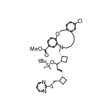 COC(=O)c1ccc2c(c1)N(C[C@@H]1CC[C@H]1C(/C=C/[C@@H]1CC[C@H]1CSc1ncccn1)O[Si](C)(C)C(C)(C)C)CCCCc1cc(Cl)ccc1CO2